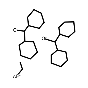 C[CH2][Al+2].[O-]C(C1CCCCC1)C1CCCCC1.[O-]C(C1CCCCC1)C1CCCCC1